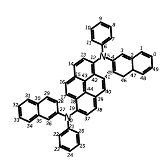 C1=CC2=CC(N(c3ccccc3)c3ccc4ccc5c(N(c6ccccc6)c6ccc7ccccc7c6)ccc6ccc3c4c65)=CCC2C=C1